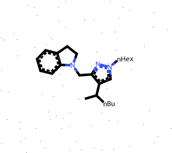 CCCCCCn1cc(C(C)CCCC)c(CN2CCc3ccccc32)n1